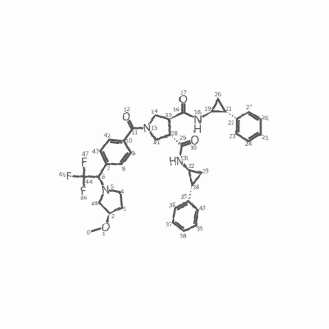 CO[C@@H]1CCN(C(c2ccc(C(=O)N3C[C@@H](C(=O)N[C@H]4C[C@@H]4c4ccccc4)[C@H](C(=O)N[C@H]4C[C@@H]4c4ccccc4)C3)cc2)C(F)(F)F)C1